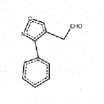 O=CCc1conc1-c1ccccc1